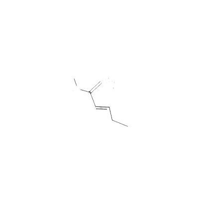 CCC=CC(=O)OC.Cl